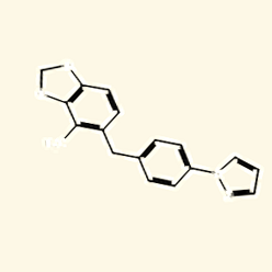 Cc1c(Cc2ccc(-n3cccn3)cc2)ccc2c1OCO2